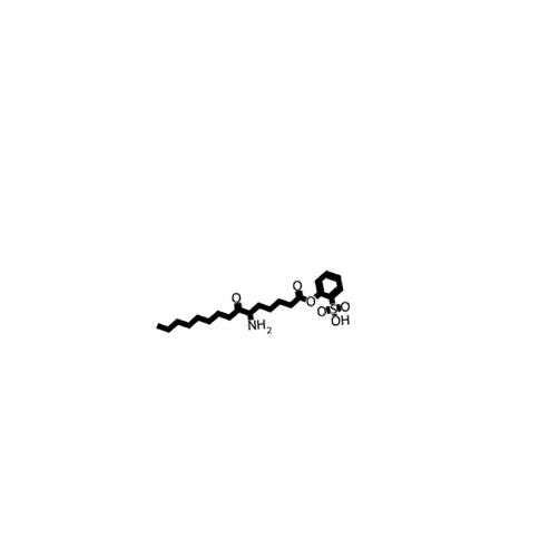 CCCCCCCCC(=O)C(N)CCCCC(=O)Oc1ccccc1S(=O)(=O)O